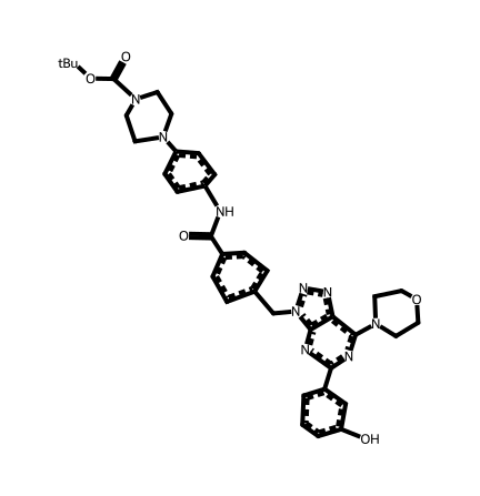 CC(C)(C)OC(=O)N1CCN(c2ccc(NC(=O)c3ccc(Cn4nnc5c(N6CCOCC6)nc(-c6cccc(O)c6)nc54)cc3)cc2)CC1